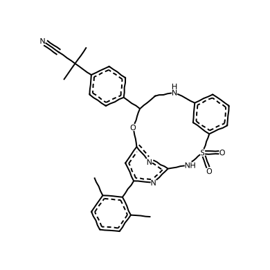 Cc1cccc(C)c1-c1cc2nc(n1)NS(=O)(=O)c1cccc(c1)NCC(c1ccc(C(C)(C)C#N)cc1)O2